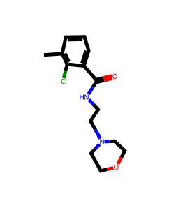 Cc1cccc(C(=O)NCCN2CCOCC2)c1Cl